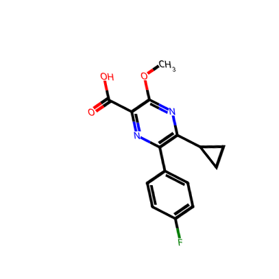 COc1nc(C2CC2)c(-c2ccc(F)cc2)nc1C(=O)O